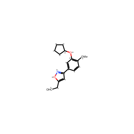 COc1ccc(-c2cc(CC=O)on2)cc1OC1CCCC1